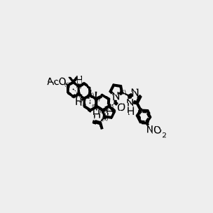 C=C(C)[C@@H]1CC[C@]2(C(=O)N3CCC[C@H]3c3ncc(-c4ccc([N+](=O)[O-])cc4)[nH]3)CC[C@]3(C)[C@H](CC[C@@H]4[C@@]5(C)CC[C@H](OC(C)=O)C(C)(C)[C@@H]5CC[C@]43C)[C@@H]12